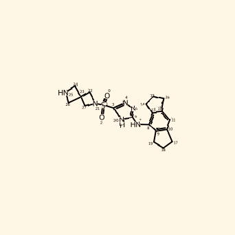 O=S(=O)(c1nnc(Nc2c3c(cc4c2CCC4)CCC3)[nH]1)N1CC2(CNC2)C1